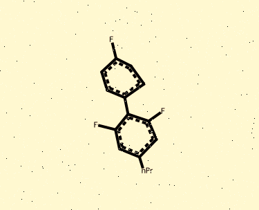 CCCc1cc(F)c(-c2ccc(F)cc2)c(F)c1